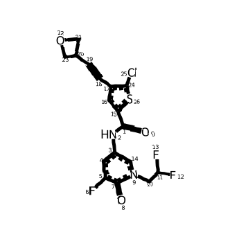 O=C(Nc1cc(F)c(=O)n(CC(F)F)c1)c1cc(C#CC2COC2)c(Cl)s1